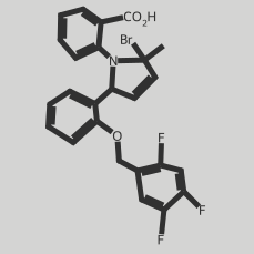 CC1(Br)C=CC(c2ccccc2OCc2cc(F)c(F)cc2F)N1c1ccccc1C(=O)O